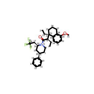 CC[C@@H](C(=O)N1CC[C@@H](c2ccccc2)C[C@H]1CC(F)(F)F)[C@]1(CC)CCCc2c(OC)cccc21